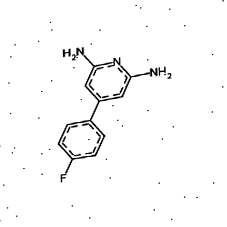 Nc1cc(-c2ccc(F)cc2)cc(N)n1